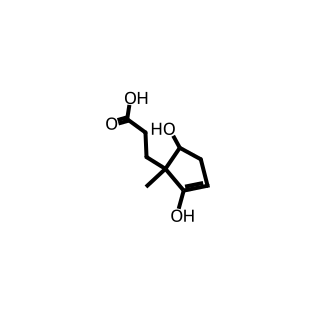 CC1(CCC(=O)O)C(O)=CCC1O